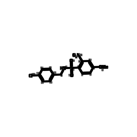 COc1ccc(S(=O)(=O)NCc2ccc(Cl)cc2)c([N+](=O)[O-])c1